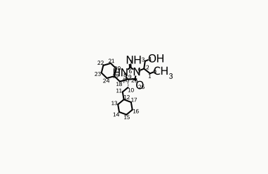 CCC(CO)N1C(=N)N[C@](CCC2CCCCC2)(CC2CCCCC2)C1=O